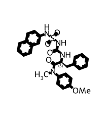 COc1ccc(N(C)C(=O)[C@H](Cc2ccccc2)NC(=O)NS(=O)(=O)Nc2ccc3ccccc3c2)cc1